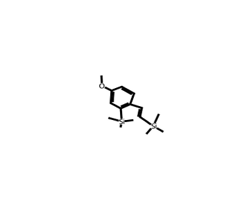 COc1ccc(C=C[Si](C)(C)C)c([Si](C)(C)C)c1